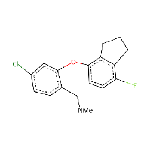 CNCc1ccc(Cl)cc1Oc1ccc(F)c2c1CCC2